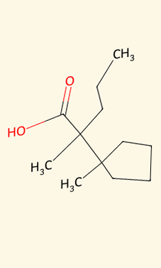 CCCC(C)(C(=O)O)C1(C)CCCC1